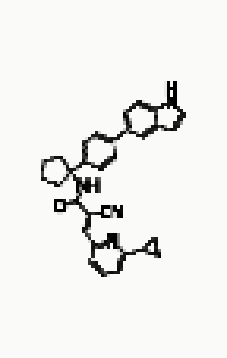 N#C/C(=C\c1cccc(C2CC2)n1)C(=O)NC1(c2ccc(-c3ccc4[nH]ccc4c3)cc2)CCCC1